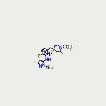 Cc1cc(Nc2nc(CC3(C(=O)O)CCN(C(=O)O)C(C)C3)ccc2F)n(C(C)(C)C)n1